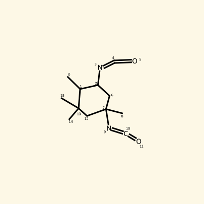 CC1C(N=C=O)CC(C)(N=C=O)CC1(C)C